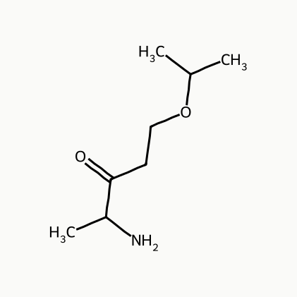 CC(C)OCCC(=O)C(C)N